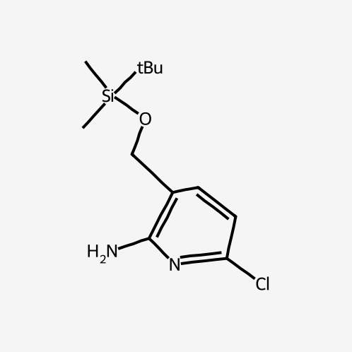 CC(C)(C)[Si](C)(C)OCc1ccc(Cl)nc1N